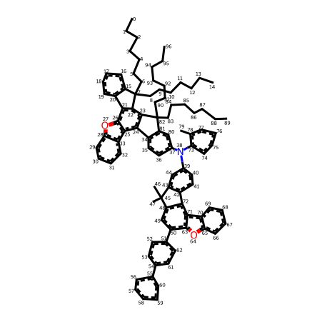 CCCCCCCC1(CCCCCCC)c2ccccc2-c2c1c1c(c3c2oc2ccccc23)-c2ccc(N(c3ccc4c(c3)C(C)(C)c3cc(-c5ccc(-c6ccccc6)cc5)c5oc6ccccc6c5c3-4)c3ccccc3C)cc2C1(CCCCCCC)CCCCCCC